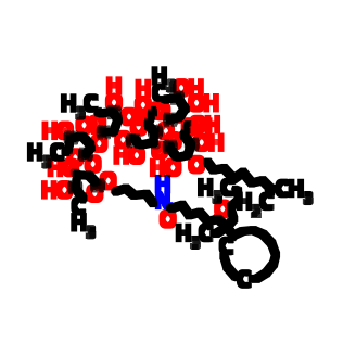 C=C(C)CCCCCCCOC1C(O)[C@H](OC2C(O)[C@@H](OC3C(O)[C@@H](O)C(C)O[C@H]3OC3C(O)[C@@H](O)C(C)O[C@H]3OC3C(O)[C@@H](O)C(C)O[C@H]3OCCCCCNC(=O)CCCCC(=O)C(CC)(CCCCC)C3CCCCCCCCCCCCC3)OC(C(=O)O)[C@@H]2O[C@@H]2OC(C)[C@H](O)C(O)C2O)OC(CO)[C@@H]1O